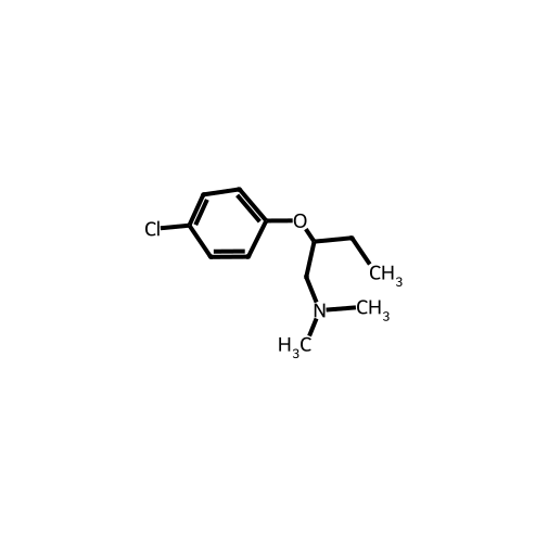 CCC(CN(C)C)Oc1ccc(Cl)cc1